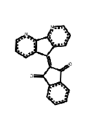 O=C1C(=C2c3cccnc3-c3ncccc32)C(=O)c2ccccc21